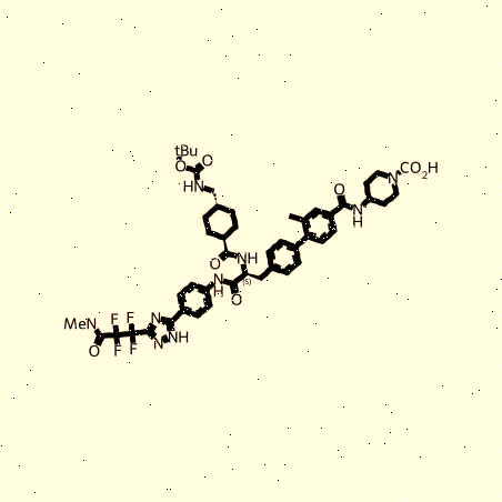 CNC(=O)C(F)(F)C(F)(F)c1n[nH]c(-c2ccc(NC(=O)[C@H](Cc3ccc(-c4ccc(C(=O)NC5CCN(C(=O)O)CC5)cc4C)cc3)NC(=O)[C@H]3CC[C@H](CNC(=O)OC(C)(C)C)CC3)cc2)n1